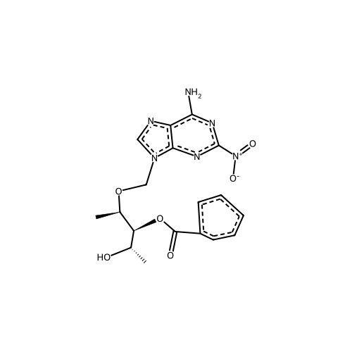 C[C@H](O)[C@H](OC(=O)c1ccccc1)[C@@H](C)OCn1cnc2c(N)nc([N+](=O)[O-])nc21